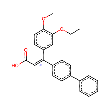 CCOc1cc(/C(=C\C(=O)O)c2ccc(-c3ccccc3)cc2)ccc1OC